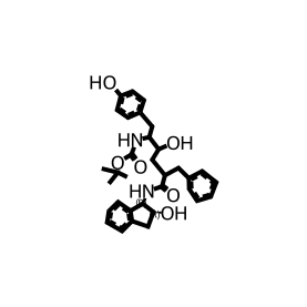 CC(C)(C)OC(=O)NC(Cc1ccc(O)cc1)C(O)CC(Cc1ccccc1)C(=O)N[C@@H]1c2ccccc2C[C@H]1O